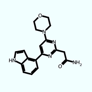 NC(=O)Cc1nc(-c2cccc3[nH]ccc23)cc(N2CCOCC2)n1